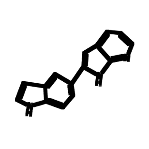 c1cnc2[nH]c(-c3ccc4[nH]ccc4c3)cc2c1